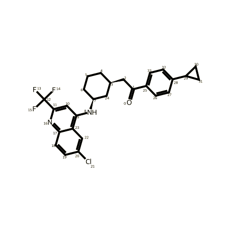 O=C(C[C@@H]1CCC[C@H](Nc2cc(C(F)(F)F)nc3ccc(Cl)cc23)C1)c1ccc(C2CC2)cc1